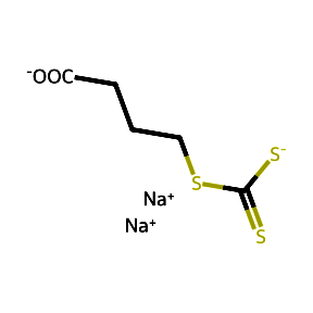 O=C([O-])CCCSC(=S)[S-].[Na+].[Na+]